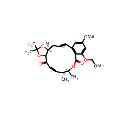 COCOc1cc(OC)cc2c1C(=O)O[C@@H](C)[C@H](C)/C=C\C(=O)C1OC(C)(C)O[C@H]1C/C=C/2